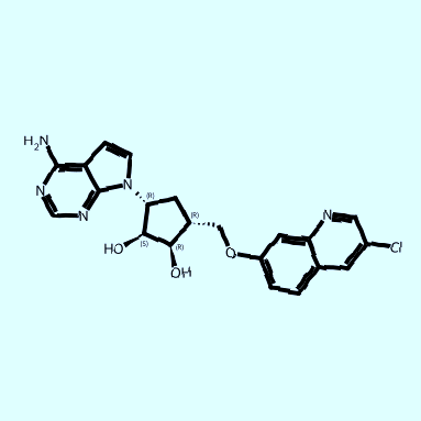 Nc1ncnc2c1ccn2[C@@H]1C[C@H](COc2ccc3cc(Cl)cnc3c2)[C@@H](O)[C@H]1O